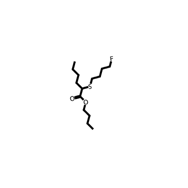 CCCCOC(=O)C(CCCC)SCCCCF